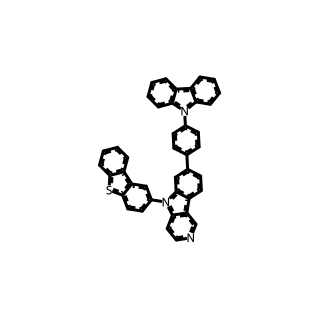 c1ccc2c(c1)sc1ccc(-n3c4ccncc4c4ccc(-c5ccc(-n6c7ccccc7c7ccccc76)cc5)cc43)cc12